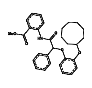 COC(=O)c1ccccc1NC(=O)C(Oc1ccccc1OC1CCCCCCC1)c1ccccc1